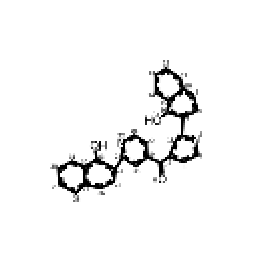 O=C(c1ccnc(-c2ccc3ccccc3c2O)c1)c1ccnc(-c2ccc3ccccc3c2O)c1